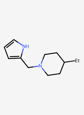 CCC1CCN(Cc2ccc[nH]2)CC1